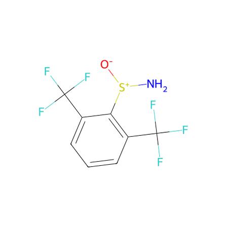 N[S+]([O-])c1c(C(F)(F)F)cccc1C(F)(F)F